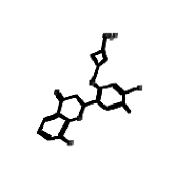 Cc1cc(C2CC(=O)c3cccc(Cl)c3O2)c(OC2CC(C(=O)O)C2)cc1Cl